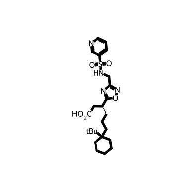 CC(C)(C)C1(CCC[C@H](CC(=O)O)c2nc(CNS(=O)(=O)c3cccnc3)no2)CCCCC1